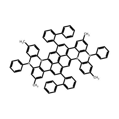 Cc1ccc2c(c1)N(c1ccccc1)c1cc(C)cc3c1B2c1cc2c(-c4ccccc4-c4ccccc4)cc4c5c(cc6c(-c7ccccc7-c7ccccc7)cc-3c1c6c25)B1c2ccc(C)cc2N(c2ccccc2)c2cc(C)cc-4c21